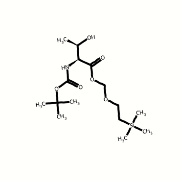 C[C@@H](O)[C@H](NC(=O)OC(C)(C)C)C(=O)OCOCC[Si](C)(C)C